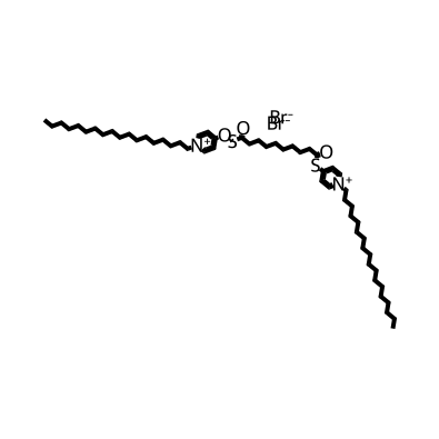 CCCCCCCCCCCCCCCCCC[n+]1ccc(OSC(=O)CCCCCCCCC(=O)Sc2cc[n+](CCCCCCCCCCCCCCCCCC)cc2)cc1.[Br-].[Br-]